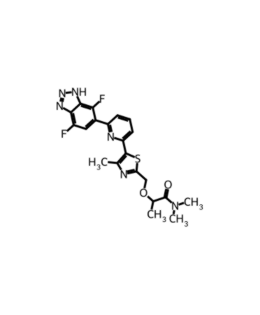 Cc1nc(COC(C)C(=O)N(C)C)sc1-c1cccc(-c2cc(F)c3nn[nH]c3c2F)n1